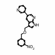 O=[N+]([O-])c1cccc(COCc2c[nH]c3ncc(-c4cccnc4)cc23)c1